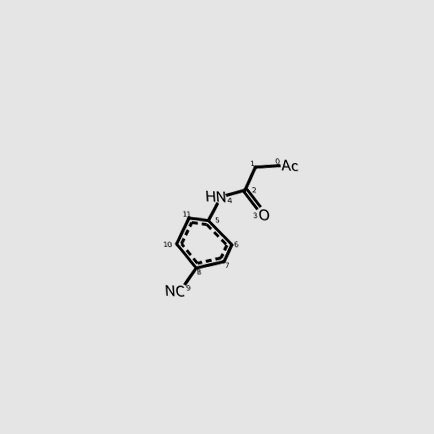 CC(=O)CC(=O)Nc1ccc(C#N)cc1